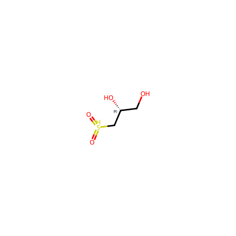 O=[SH](=O)C[C@H](O)CO